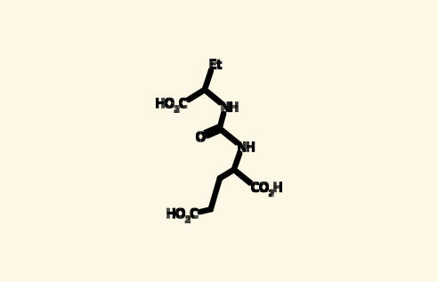 CCC(NC(=O)NC(CCC(=O)O)C(=O)O)C(=O)O